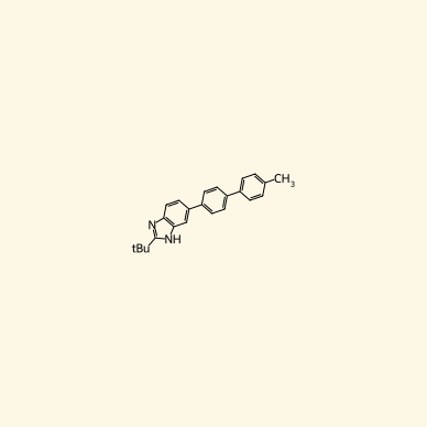 Cc1ccc(-c2ccc(-c3ccc4nc(C(C)(C)C)[nH]c4c3)cc2)cc1